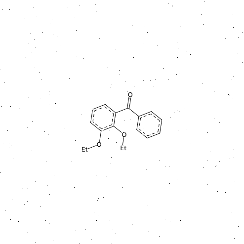 CCOc1cccc(C(=O)c2ccccc2)c1OCC